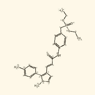 CCOP(=O)(Cc1ccc(NC(=O)/C=C/c2cnn(C)c2-c2ccc(C)cc2)cc1)OCC